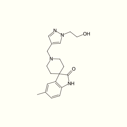 Cc1ccc2c(c1)C1(CCN(Cc3cnn(CCO)c3)CC1)C(=O)N2